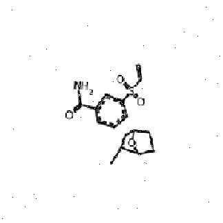 C=CS(=O)(=O)c1cccc(C(N)=O)c1.CC1CC2CCC1O2